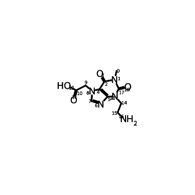 Cn1c(=O)c2c(ncn2CC(=O)O)n(CCN)c1=O